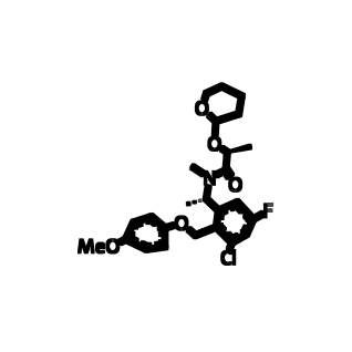 COc1ccc(OCc2c(Cl)cc(F)cc2[C@H](C)N(C)C(=O)[C@H](C)OC2CCCCO2)cc1